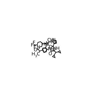 CC(C(=O)N1CC(C#N)CCC1C(F)(F)F)c1ccc(NC(=O)[C@@H](NC(=O)c2ccnn2C(C)C)C(C2CC2)C2CC2)c(F)c1